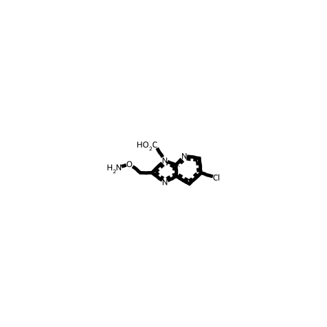 NOCc1nc2cc(Cl)cnc2n1C(=O)O